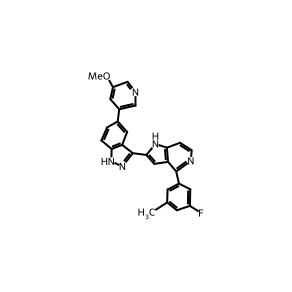 COc1cncc(-c2ccc3[nH]nc(-c4cc5c(-c6cc(C)cc(F)c6)nccc5[nH]4)c3c2)c1